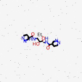 CCO[C@H](CNC(=O)c1ccnnc1)[C@@H](O)CNC(=O)c1ccnnc1